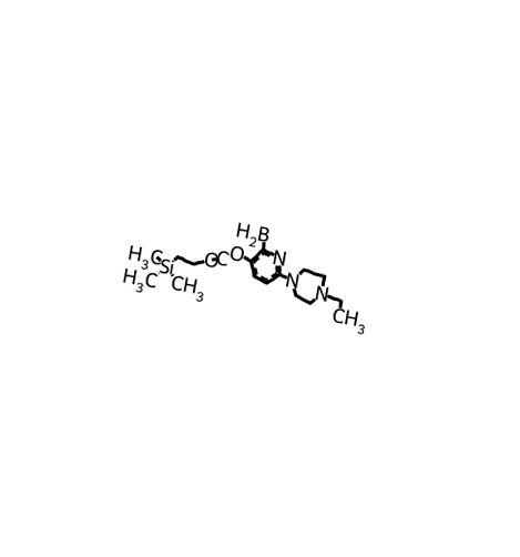 Bc1nc(N2CCN(CC)CC2)ccc1OCOCC[Si](C)(C)C